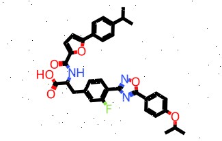 CC(C)Oc1ccc(-c2nc(-c3ccc(CC(NC(=O)c4ccc(-c5ccc(C(C)C)cc5)o4)C(=O)O)cc3F)no2)cc1